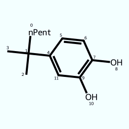 CCCCCC(C)(C)c1ccc(O)c(O)c1